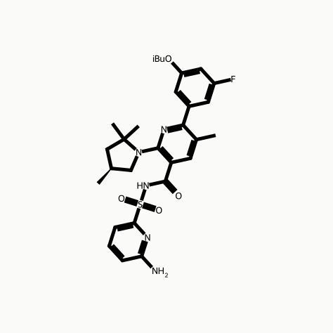 Cc1cc(C(=O)NS(=O)(=O)c2cccc(N)n2)c(N2C[C@@H](C)CC2(C)C)nc1-c1cc(F)cc(OCC(C)C)c1